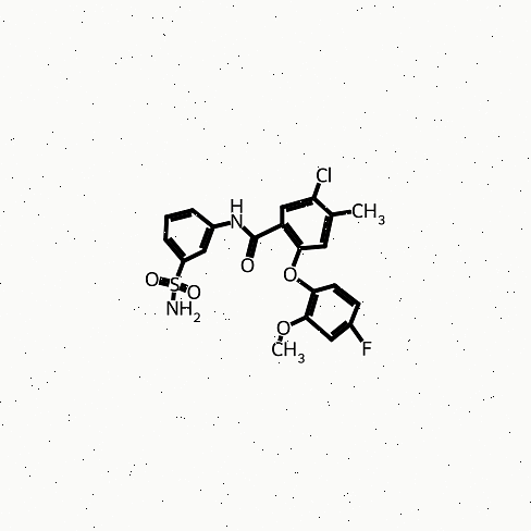 COc1cc(F)ccc1Oc1cc(C)c(Cl)cc1C(=O)Nc1cccc(S(N)(=O)=O)c1